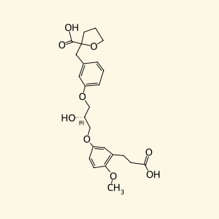 COc1ccc(OC[C@H](O)COc2cccc(CC3(C(=O)O)CCCO3)c2)cc1CCC(=O)O